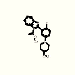 CCOC(=O)C1CCN(c2ccc(Cl)c(-c3nc4ccccc4n3C(=O)OC(C)(C)C)c2)CC1